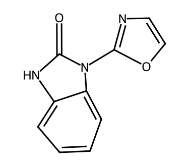 O=c1[nH]c2ccccc2n1-c1ncco1